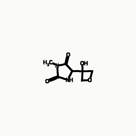 CN1C(=O)NC(C2(O)COC2)C1=O